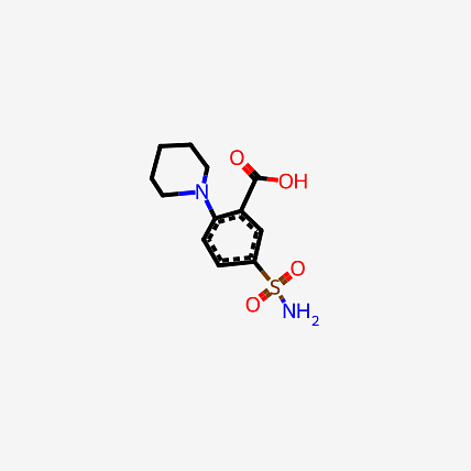 NS(=O)(=O)c1ccc(N2CCCCC2)c(C(=O)O)c1